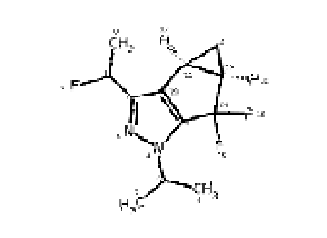 CC(F)c1nn(C(C)C)c2c1[C@H]1C[C@H]1C2(F)F